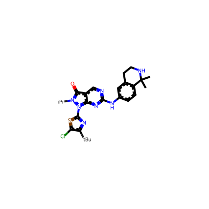 CC(C)n1c(=O)c2cnc(Nc3ccc4c(c3)CCNC4(C)C)nc2n1-c1nc(C(C)(C)C)c(Cl)s1